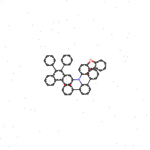 c1ccc(-c2cccc(-c3ccccc3)c2N(c2ccc3c(c2)c(-c2ccccc2)c(-c2ccccc2)c2ccccc23)c2ccc3oc4ccccc4c3c2)cc1